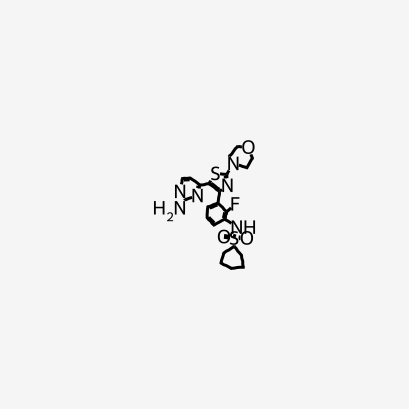 Nc1nccc(-c2sc(N3CCOCC3)nc2-c2cccc(NS(=O)(=O)C3CCCCC3)c2F)n1